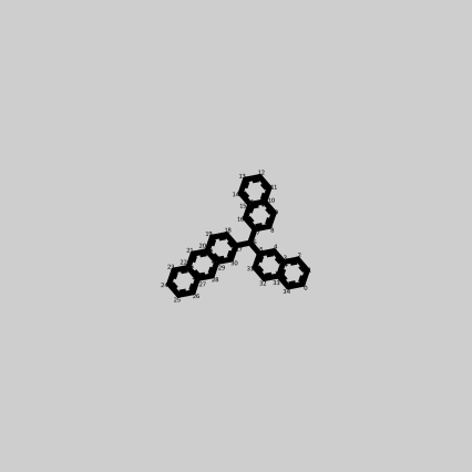 c1ccc2cc(C(c3ccc4ccccc4c3)c3ccc4cc5ccccc5cc4c3)ccc2c1